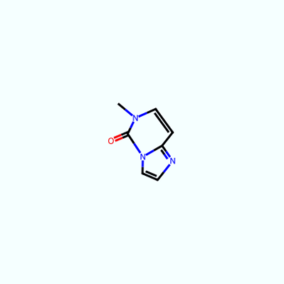 Cn1ccc2nccn2c1=O